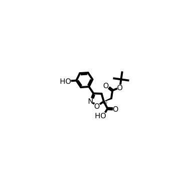 CC(C)(C)OC(=O)C[C@]1(C(=O)O)CC(c2cccc(O)c2)=NO1